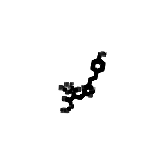 CCCc1ccc(CCc2noc(CC(C(=O)OC(C)(C)C)P(C)(=O)OCC)n2)cc1